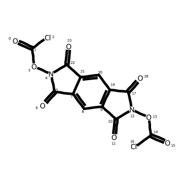 O=C(Cl)On1c(=O)c2cc3c(=O)n(OC(=O)Cl)c(=O)c3cc2c1=O